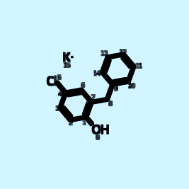 Oc1ccc(Cl)cc1Cc1ccccc1.[K]